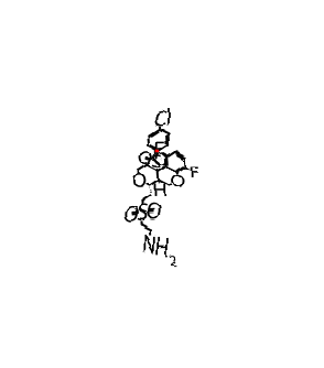 NCCS(=O)(=O)CC[C@@H]1OCC[C@@]2(S(=O)(=O)c3ccc(Cl)cc3)c3c(F)ccc(F)c3OC[C@@H]12